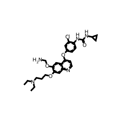 CCN(CC)CCCOc1cc2nccc(Oc3ccc(NC(=O)NC4CC4)c(Cl)c3)c2cc1OCN